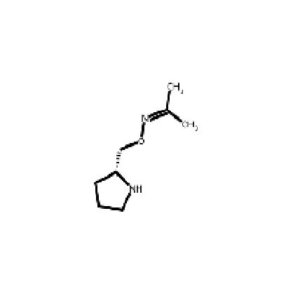 CC(C)=NOC[C@H]1CCCN1